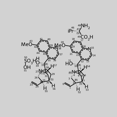 C=C[C@H]1C[N@]2CC[C@H]1C[C@H]2[C@H](O)c1ccnc2ccc(OC)cc12.C=C[C@H]1C[N@]2CC[C@H]1C[C@H]2[C@H](O)c1ccnc2ccc(OC)cc12.CC(C)[C@H](N)C(=O)O.O=S(=O)(O)O